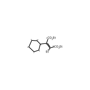 CCOC(=O)/C(CC)=C(\C(=O)OCC)C1CCCCC1